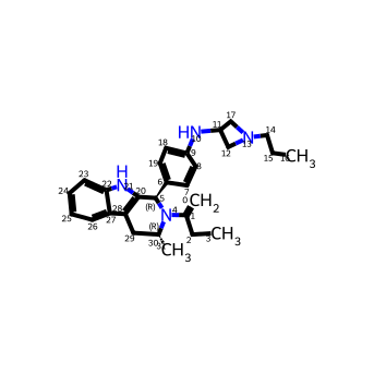 C=C(CC)N1[C@H](c2ccc(NC3CN(CCC)C3)cc2)c2[nH]c3ccccc3c2C[C@H]1C